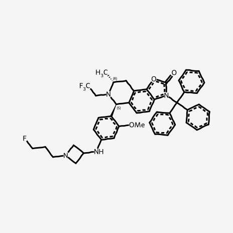 COc1cc(NC2CN(CCCF)C2)ccc1[C@@H]1c2ccc3c(oc(=O)n3C(c3ccccc3)(c3ccccc3)c3ccccc3)c2C[C@@H](C)N1CC(F)(F)F